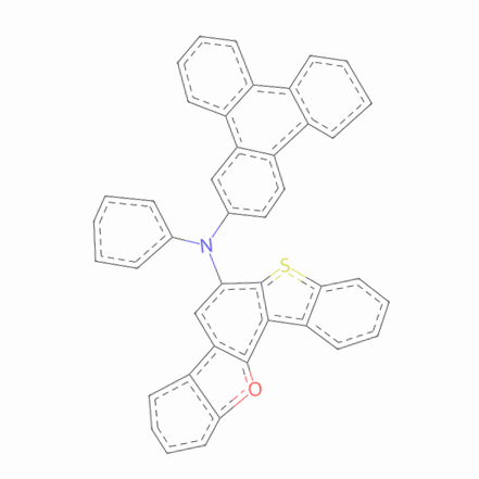 c1ccc(N(c2ccc3c4ccccc4c4ccccc4c3c2)c2cc3c4ccccc4oc3c3c2sc2ccccc23)cc1